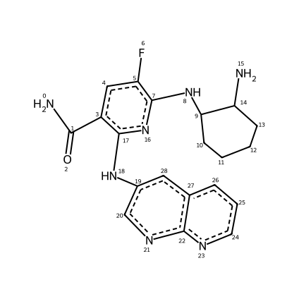 NC(=O)c1cc(F)c(NC2CCCCC2N)nc1Nc1cnc2ncccc2c1